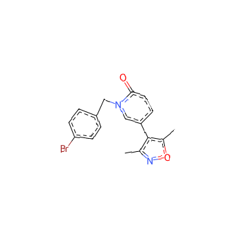 Cc1noc(C)c1-c1ccc(=O)n(Cc2ccc(Br)cc2)c1